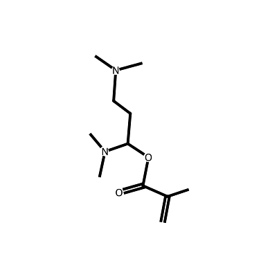 C=C(C)C(=O)OC(CCN(C)C)N(C)C